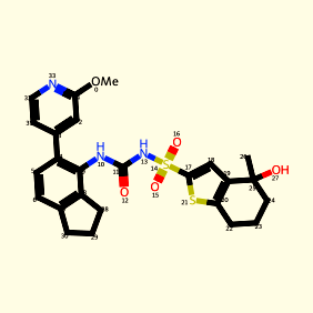 COc1cc(-c2ccc3c(c2NC(=O)NS(=O)(=O)c2cc4c(s2)CCCC4(C)O)CCC3)ccn1